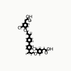 CC(=CCOc1ccc(CC(=O)O)cc1Cl)c1ccc(-c2ccc(C(C)=CCOc3ccc(CC(=O)O)cc3Cl)cc2)cc1